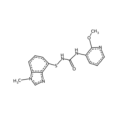 COc1ncccc1NC(=O)NSc1cccc2c1ncn2C